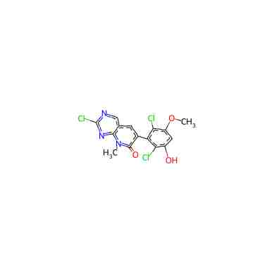 COc1cc(O)c(Cl)c(-c2cc3cnc(Cl)nc3n(C)c2=O)c1Cl